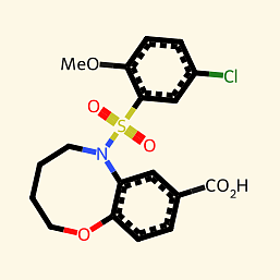 COc1ccc(Cl)cc1S(=O)(=O)N1CCCCOc2ccc(C(=O)O)cc21